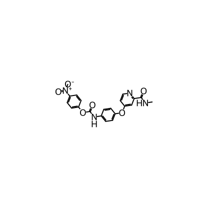 CNC(=O)c1cc(Oc2ccc(NC(=O)Oc3ccc([N+](=O)[O-])cc3)cc2)ccn1